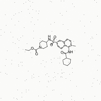 CCOC(=O)N1CCC(NS(=O)(=O)c2ccc3c(NC(=O)C4CCCCC4)c(C)ccc3c2)CC1